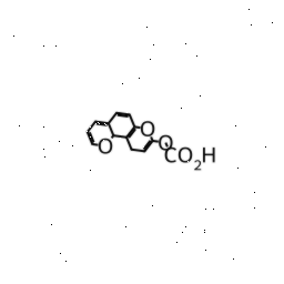 O=C(O)OC1=CCC2=C(C=CC3=CC=COC32)O1